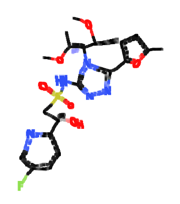 C=C(OC)/C(=C(\C)OC)n1c(NS(=O)(=O)C[C@H](O)c2ccc(F)cn2)nnc1-c1ccc(C)o1